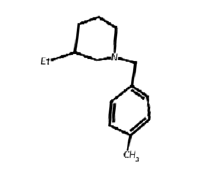 CCC1CCCN(Cc2ccc(C)cc2)C1